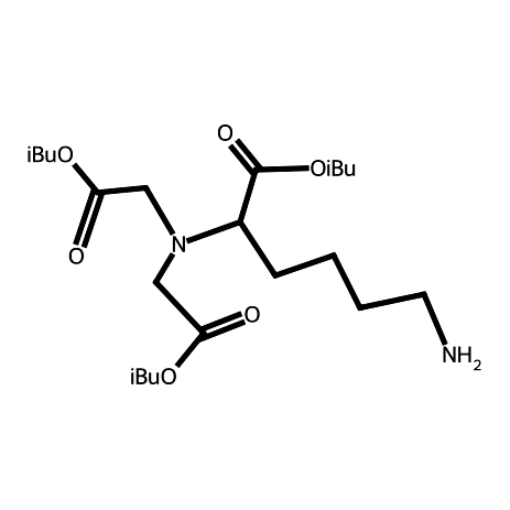 CC(C)COC(=O)CN(CC(=O)OCC(C)C)C(CCCCN)C(=O)OCC(C)C